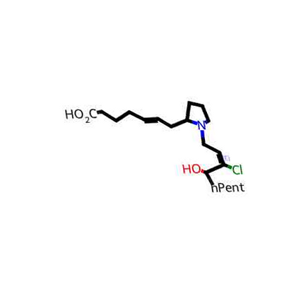 CCCCCC(O)/C(Cl)=C\CN1CCCC1CC=CCCCC(=O)O